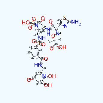 CC(C)(ON=C(C(=O)N[C@@H]1C(=O)N(S(=O)(=O)O)[C@@H]1CNS(=O)(=O)c1cccc(C(=O)NCc2cc(=O)cc(O)n2O)c1)c1csc(N)n1)C(=O)O